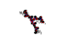 CC1(C)c2ccccc2-c2ccc(-n3c4ccccc4c4cc(-c5ccc6c(c5)c5ccccc5n6-c5ccc(-c6nc(-c7cccc(-n8c9ccccc9c9cc(-c%10ccc%11c(c%10)c%10ccccc%10n%11-c%10ccc%11c(c%10)C(C)(C)c%10ccccc%10-%11)ccc98)c7)nc7ccc(-n8c9ccccc9c9cc(-c%10ccc%11c(c%10)c%10ccccc%10n%11-c%10ccc%11c(c%10)C(C)(C)c%10ccccc%10-%11)ccc98)cc67)cc5)ccc43)cc21